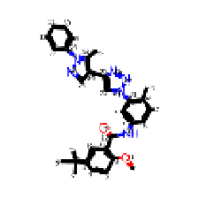 COc1ccc(C(C)(C)C)cc1C(=O)Nc1ccc(C)c(-n2cc(-c3cnn(-c4ccccc4)c3C)nn2)c1